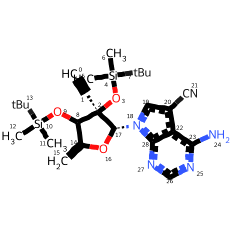 C#C[C@@]1(O[Si](C)(C)C(C)(C)C)C(O[Si](C)(C)C(C)(C)C)C(=C)O[C@H]1n1cc(C#N)c2c(N)ncnc21